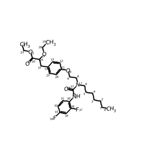 CCCCCCCN(CCOc1ccc(CC(OCC)C(=O)OCC)cc1)C(=O)Nc1ccc(F)cc1F